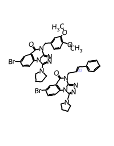 COc1ccc(Cn2c(=O)c3cc(Br)ccc3n3c(N4CCCC4)nnc23)cc1OC.O=c1c2cc(Br)ccc2n2c(N3CCCC3)nnc2n1C/C=C/c1ccccc1